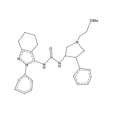 COCCN1CC(NC(=O)Nc2c3c(nn2-c2ccccc2)CCCC3)C(c2ccccc2)C1